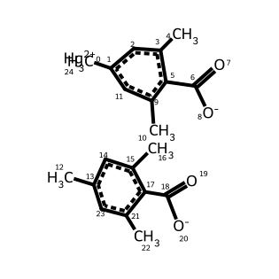 Cc1cc(C)c(C(=O)[O-])c(C)c1.Cc1cc(C)c(C(=O)[O-])c(C)c1.[Hg+2]